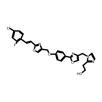 OCCc1nccn1Cc1coc(-c2ccc(OCc3coc(/C=C/c4ccc(Cl)cc4F)n3)cc2)n1